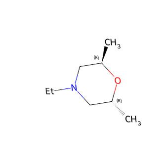 [CH2]CN1C[C@@H](C)O[C@H](C)C1